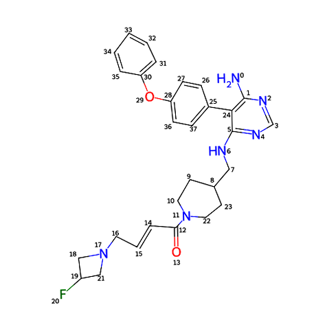 Nc1ncnc(NCC2CCN(C(=O)/C=C/CN3CC(F)C3)CC2)c1-c1ccc(Oc2ccccc2)cc1